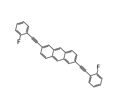 Fc1ccccc1C#Cc1ccc2cc3cc(C#Cc4ccccc4F)ccc3cc2c1